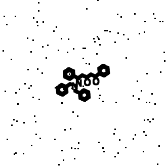 O=C(CC(=O)c1ccccc1)CC(=NN(Cc1ccccc1)Cc1ccccc1)c1ccccc1